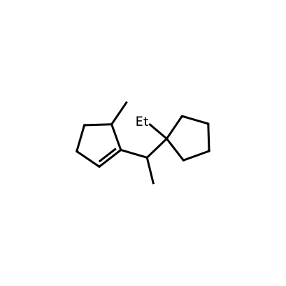 CCC1(C(C)C2=CCCC2C)CCCC1